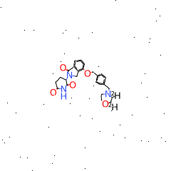 [2H]C1OCCN(Cc2ccc(COc3cccc4c3CN(C3CCC(=O)NC3=O)C4=O)cc2)C1[2H]